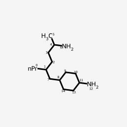 CCCC(CCC(C)N)CC1CCC(N)CC1